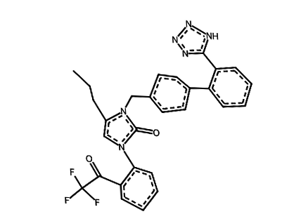 CCCc1cn(-c2ccccc2C(=O)C(F)(F)F)c(=O)n1Cc1ccc(-c2ccccc2-c2nnn[nH]2)cc1